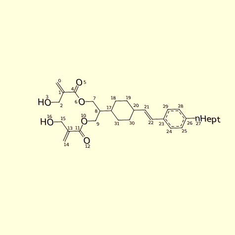 C=C(CO)C(=O)OCC(COC(=O)C(=C)CO)C1CCC(/C=C/c2ccc(CCCCCCC)cc2)CC1